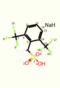 O=S(=O)(O)Cc1c(C(F)(F)F)cccc1C(F)(F)F.[NaH]